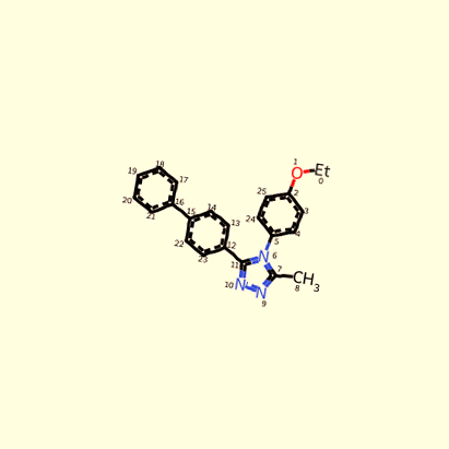 CCOc1ccc(-n2c(C)nnc2-c2ccc(-c3ccccc3)cc2)cc1